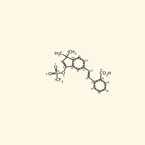 CC1(C)C=C(OS(=O)(=O)C(F)(F)F)c2cc(C=Cc3ccccc3C(=O)O)ccc21